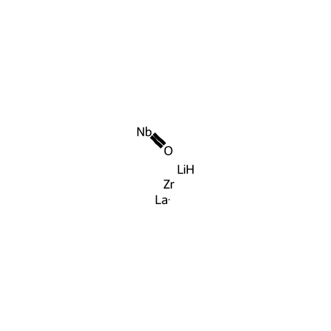 [La].[LiH].[O]=[Nb].[Zr]